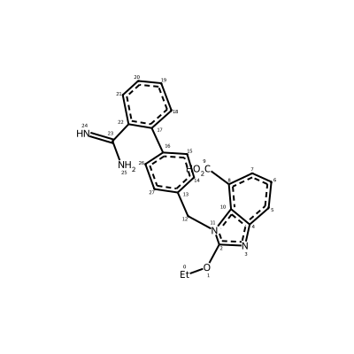 CCOc1nc2cccc(C(=O)O)c2n1Cc1ccc(-c2ccccc2C(=N)N)cc1